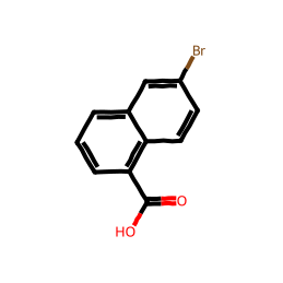 O=C(O)c1cccc2cc(Br)ccc12